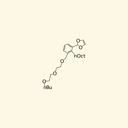 CCCCCCCCc1c(COCCOCCOCCCC)cccc1C1OC=CO1